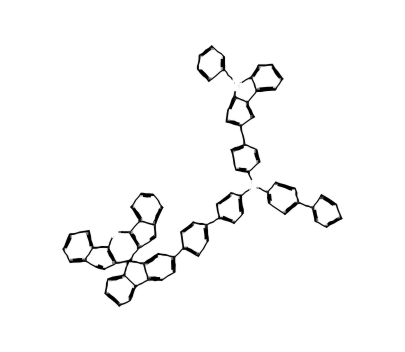 c1ccc(-c2ccc(N(c3ccc(-c4ccc(-c5ccc6c(c5)C5(c7ccccc7-6)c6ccc7ccccc7c6Oc6c5ccc5ccccc65)cc4)cc3)c3ccc(-c4ccc5c(c4)c4ccccc4n5-c4ccccc4)cc3)cc2)cc1